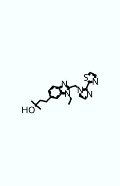 CCn1c(Cn2ccnc2-c2nccs2)nc2ccc(CCC(C)(C)O)cc21